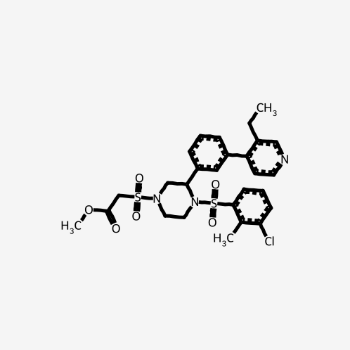 CCc1cnccc1-c1cccc(C2CN(S(=O)(=O)CC(=O)OC)CCN2S(=O)(=O)c2cccc(Cl)c2C)c1